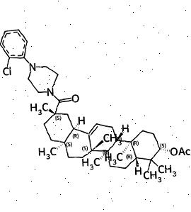 CC(=O)O[C@H]1CC[C@]2(C)[C@H]3CC=C4[C@@H]5C[C@@](C)(C(=O)N6CCN(c7ccccc7Cl)CC6)CC[C@]5(C)CC[C@@]4(C)[C@]3(C)CC[C@H]2C1(C)C